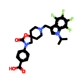 CC(C)n1cc(CN2CCC3(CC2)CN(c2ccc(C(=O)O)cc2)C(=O)O3)c2c(F)c(F)c(F)c(F)c21